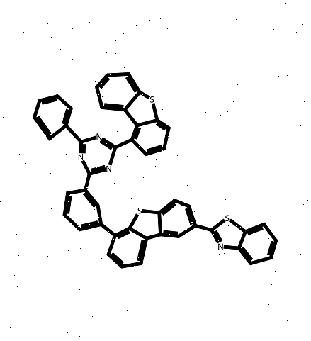 c1ccc(-c2nc(-c3cccc(-c4cccc5c4sc4ccc(-c6nc7ccccc7s6)cc45)c3)nc(-c3cccc4sc5ccccc5c34)n2)cc1